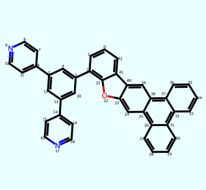 c1cc(-c2cc(-c3ccncc3)cc(-c3ccncc3)c2)c2oc3cc4c5ccccc5c5ccccc5c4cc3c2c1